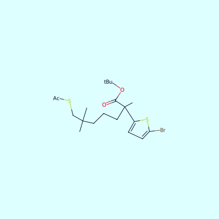 CC(=O)SCC(C)(C)CCCC(C)(C(=O)OC(C)(C)C)c1ccc(Br)s1